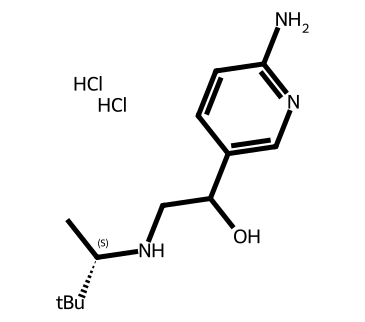 C[C@H](NCC(O)c1ccc(N)nc1)C(C)(C)C.Cl.Cl